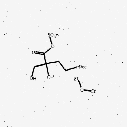 CCCCCCCCCCCCC(O)(CO)C(=O)OS(=O)(=O)O.CCOCC